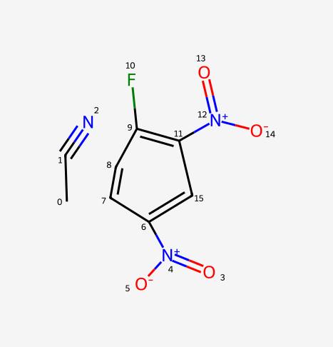 CC#N.O=[N+]([O-])c1ccc(F)c([N+](=O)[O-])c1